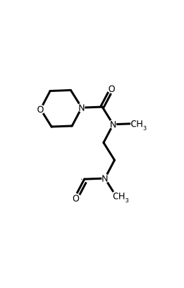 CN([C]=O)CCN(C)C(=O)N1CCOCC1